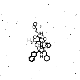 COCCNC(=O)C(=O)C(NC(=O)[C@@H]1CCCN1C(=O)[C@@H](CC1CCCCC1)NC(=O)c1ccc2ccccc2c1)C(C)C